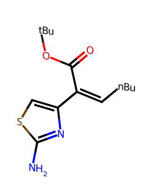 CCCCC=C(C(=O)OC(C)(C)C)c1csc(N)n1